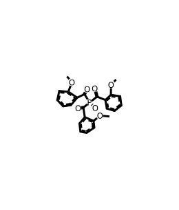 COc1ccccc1C(=O)P(=O)(C(=O)c1ccccc1OC)C(=O)c1ccccc1OC